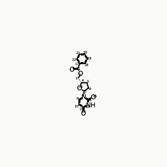 O=C(OC[C@@H]1CCC(n2ccc(=O)[nH]c2=O)O1)c1ccccc1